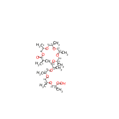 C=C(C)C(=O)OCC(C)OCC(C)OCC(C)OCC(C)OCC(C)OCC(C)OCC(C)OCC(C)OO